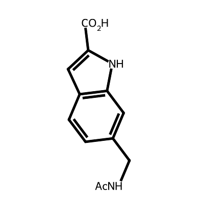 CC(=O)NCc1ccc2cc(C(=O)O)[nH]c2c1